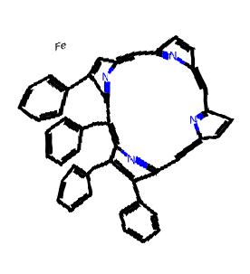 C1=CC2=NC1=CC1=NC(=C(c3ccccc3)C3=NC(=CC4=NC(=C2)C=C4)C=C3c2ccccc2)C(c2ccccc2)=C1c1ccccc1.[Fe]